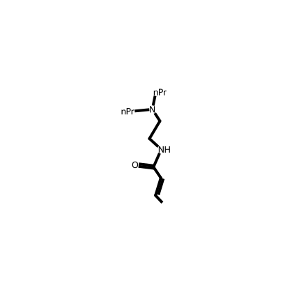 C/C=C/C(=O)NCCN(CCC)CCC